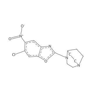 O=[N+]([O-])c1cc2nc(N3CCN4CCC3CC4)oc2cc1Cl